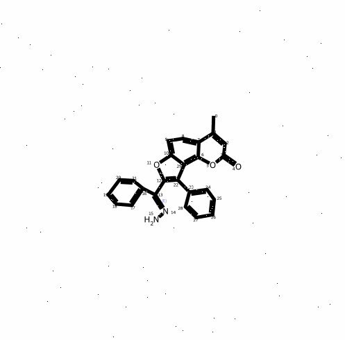 Cc1cc(=O)oc2c1ccc1oc(/C(=N/N)c3ccccc3)c(-c3ccccc3)c12